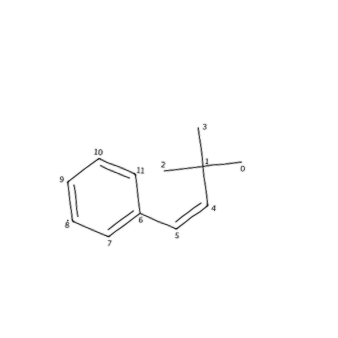 CC(C)(C)/C=C\c1c[c]ccc1